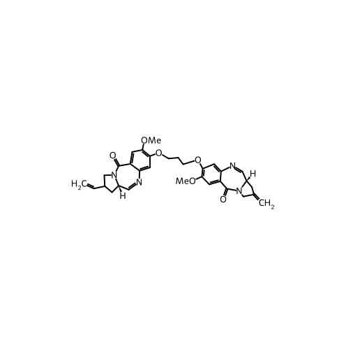 C=CC1C[C@H]2C=Nc3cc(OCCCOc4cc5c(cc4OC)C(=O)N4CC(=C)C[C@H]4C=N5)c(OC)cc3C(=O)N2C1